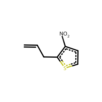 C=CCc1sccc1[N+](=O)[O-]